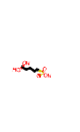 O=S(=O)(O)CCCCC(O)O